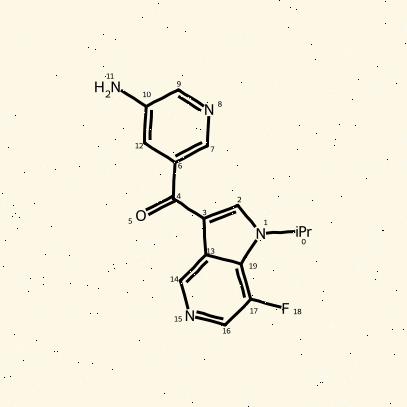 CC(C)n1cc(C(=O)c2cncc(N)c2)c2cncc(F)c21